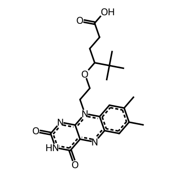 Cc1cc2nc3c(=O)[nH]c(=O)nc-3n(CCOC(CCC(=O)O)C(C)(C)C)c2cc1C